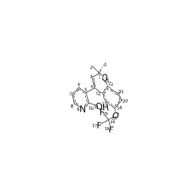 CC1(C)C=C(c2cccnc2O)c2cc(OC(F)(F)F)ccc2O1